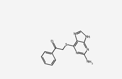 Nc1nc(SCC(=O)c2ccccc2)c2nc[nH]c2n1